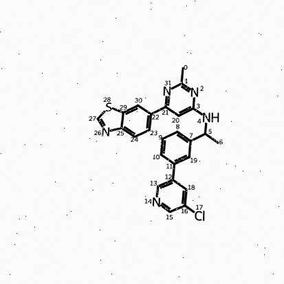 Cc1nc(NC(C)c2cccc(-c3cncc(Cl)c3)c2)cc(-c2ccc3ncsc3c2)n1